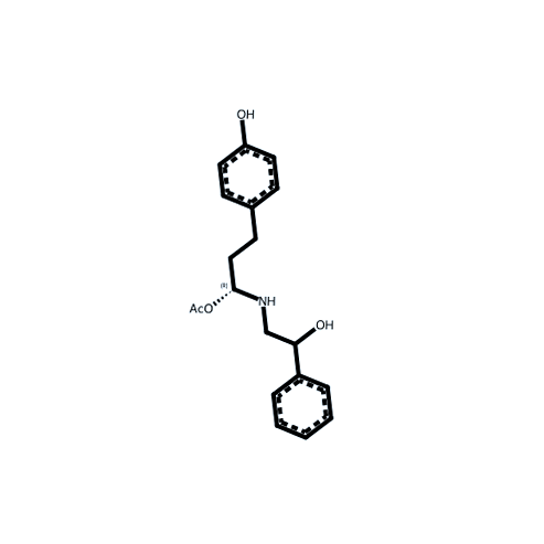 CC(=O)O[C@H](CCc1ccc(O)cc1)NCC(O)c1ccccc1